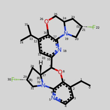 CCc1ccnc2c1OC(c1cc(C(C)C)c3c(n1)N1C[C@@H](F)CC1CO3)[C@H]1C[C@@H](F)CN21